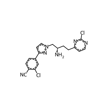 N#Cc1ccc(-c2ccn(C[C@H](N)CCc3ccnc(Cl)n3)n2)cc1Cl